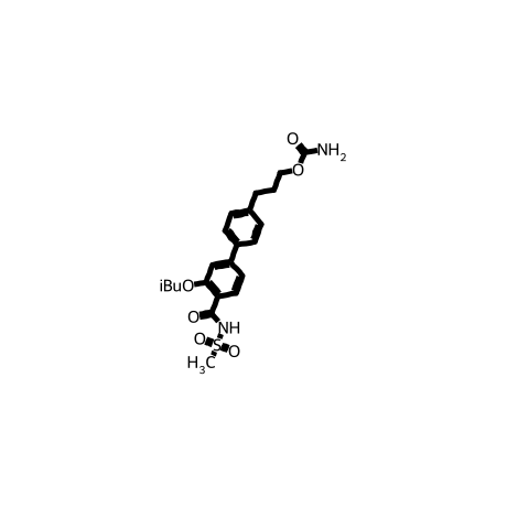 CC(C)COc1cc(-c2ccc(CCCOC(N)=O)cc2)ccc1C(=O)NS(C)(=O)=O